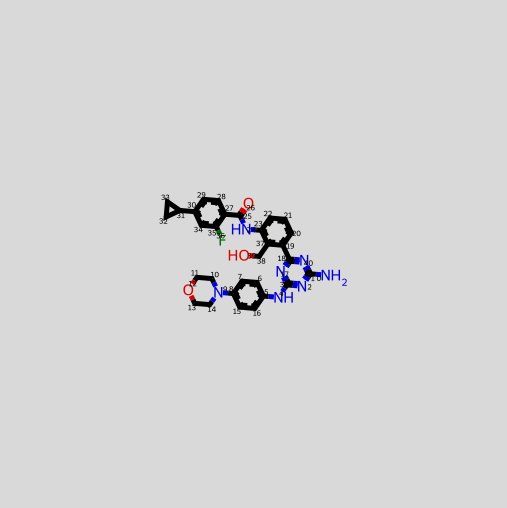 Nc1nc(Nc2ccc(N3CCOCC3)cc2)nc(-c2cccc(NC(=O)c3ccc(C4CC4)cc3F)c2CO)n1